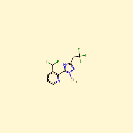 Cn1nc(CC(F)(F)F)nc1-c1ncccc1C(F)F